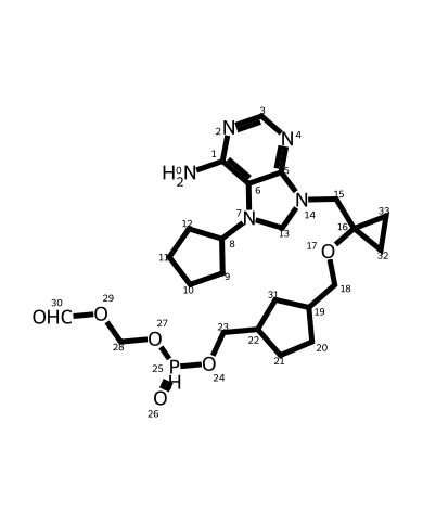 Nc1ncnc2c1N(C1CCCC1)CN2CC1(OCC2CCC(CO[PH](=O)OCOC=O)C2)CC1